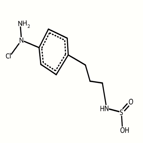 NN(Cl)c1ccc(CCCNS(=O)O)cc1